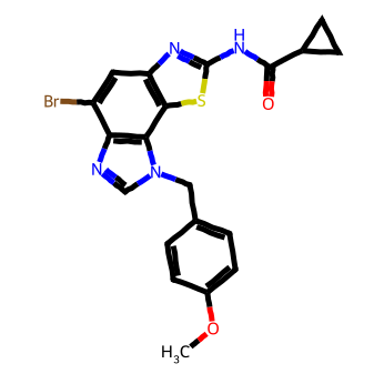 COc1ccc(Cn2cnc3c(Br)cc4nc(NC(=O)C5CC5)sc4c32)cc1